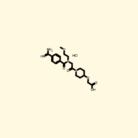 COCCN(CC(=O)N1CCC(OCC(=O)O)CC1)C(=O)c1ccc(C(=N)N)cc1.Cl